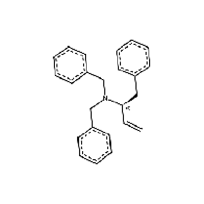 C=C[C@H](Cc1ccccc1)N(Cc1ccccc1)Cc1ccccc1